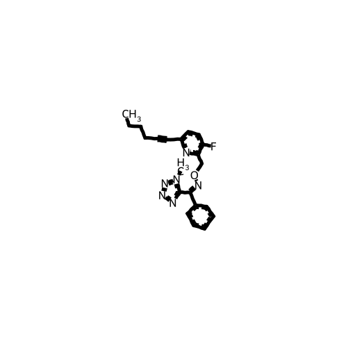 CCCCC#Cc1ccc(F)c(CON=C(c2ccccc2)c2nnnn2C)n1